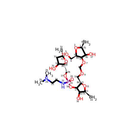 B[C@@H]1O[C@H](CO)C(OCOC[C@H]2O[C@@H](B)C(O)C2OP(=O)(NCCN(C)C)OC[C@H]2O[C@@H](B)CC2O)C1O